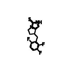 Fc1ccc(F)c(CC2CCn3c2c[nH]c3=S)c1F